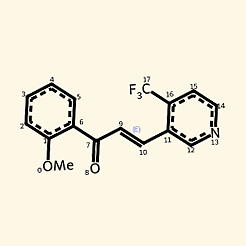 COc1ccccc1C(=O)/C=C/c1cnccc1C(F)(F)F